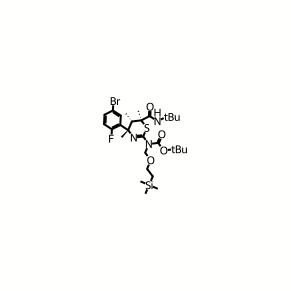 C[C@@H]1[C@@](C)(C(=O)NC(C)(C)C)SC(N(COCC[Si](C)(C)C)C(=O)OC(C)(C)C)=N[C@]1(C)c1cc(Br)ccc1F